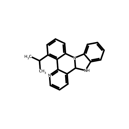 CC(C)c1cccc2c1-c1ncccc1C1Nc3ccccc3N21